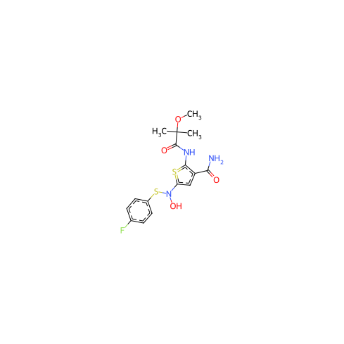 COC(C)(C)C(=O)Nc1sc(N(O)Sc2ccc(F)cc2)cc1C(N)=O